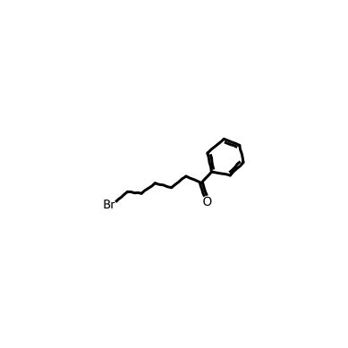 O=C(CCCCCBr)c1ccccc1